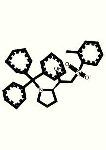 Cc1ccccc1S(=O)(=O)CC(O)[C@H]1CCCN1C(c1ccccc1)(c1ccccc1)c1ccccc1